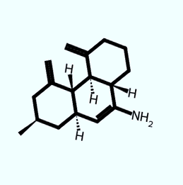 C=C1CCC[C@@H]2C(N)=C[C@H]3C[C@@H](C)CC(=C)[C@@H]3[C@@H]12